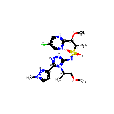 COC[C@@H](C)n1c(NS(=O)(=O)[C@@H](C)[C@H](OC)c2ncc(Cl)cn2)nnc1-c1ccn(C)n1